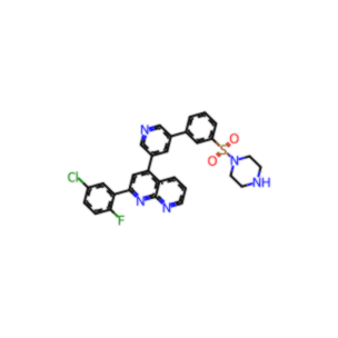 O=S(=O)(c1cccc(-c2cncc(-c3cc(-c4cc(Cl)ccc4F)nc4ncccc34)c2)c1)N1CCNCC1